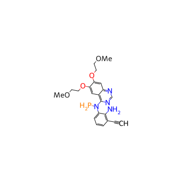 C#Cc1cccc(N(P)c2ncnc3cc(OCCOC)c(OCCOC)cc23)c1N